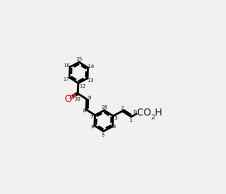 O=C(O)C=Cc1cccc(C=CC(=O)c2ccccc2)c1